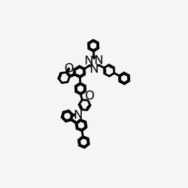 C1=Cc2oc3cc(-c4nc(C5=CCC(c6ccccc6)C=C5)nc(-c5ccccc5)n4)cc(-c4ccc5c(c4)OC4C=CC(n6c7ccccc7c7cc(-c8ccccc8)ccc76)=CC54)c3c2CC1